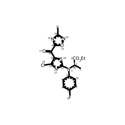 CCOC(=O)[C@@H](C)N(c1ccc(F)cc1)c1nc(Cl)c(C(=O)c2nc(C)no2)s1